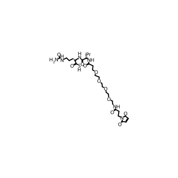 CC(C)[C@H](NC(=O)CCOCCOCCOCCOCCNC(=O)CCN1C(=O)C=CC1=O)C(=O)N[C@@H](CCCNC(N)=O)C(=O)S